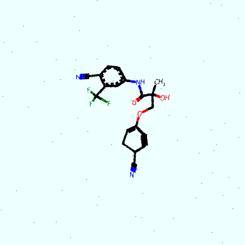 CC(O)(COC1=CCC(C#N)C#C1)C(=O)Nc1ccc(C#N)c(C(F)(F)F)c1